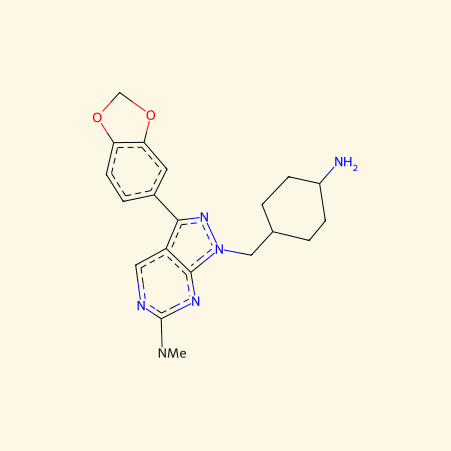 CNc1ncc2c(-c3ccc4c(c3)OCO4)nn(CC3CCC(N)CC3)c2n1